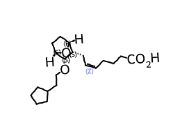 O=C(O)CCC/C=C\C[C@@H]1[C@H](OCCC2CCCC2)[C@@H]2CC[C@H]1O2